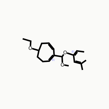 C/C=C(\C=C(C)C)OC(OC)/C1=C/CCC(OCC)CC=C1